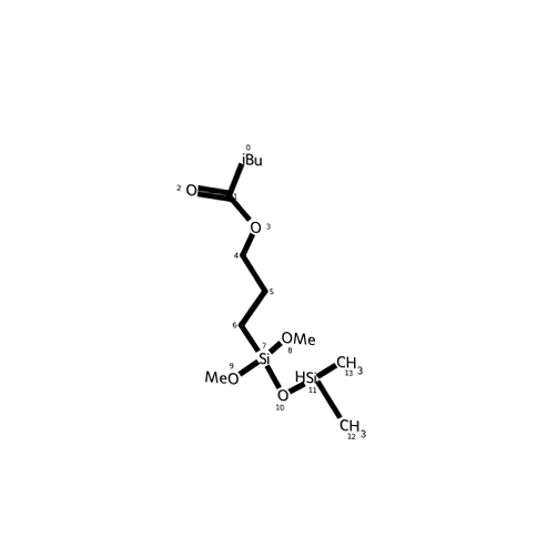 CCC(C)C(=O)OCCC[Si](OC)(OC)O[SiH](C)C